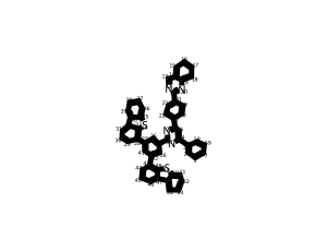 c1ccc(-c2cc(-c3ccc(-c4ncc5ccccc5n4)cc3)nc(-c3cc(-c4cccc5c4sc4ccccc45)cc(-c4cccc5c4sc4ccccc45)c3)n2)cc1